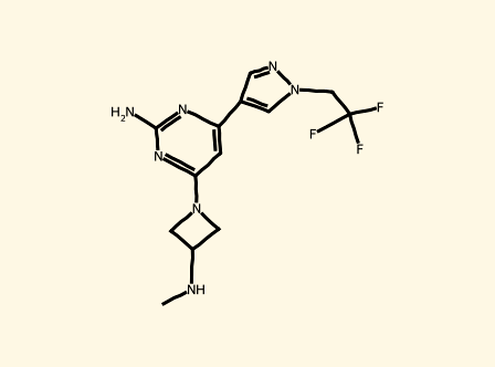 CNC1CN(c2cc(-c3cnn(CC(F)(F)F)c3)nc(N)n2)C1